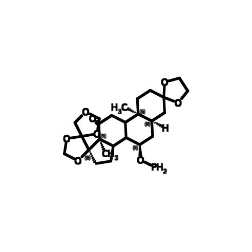 C[C@]12C(=O)CC3C(C1CC[C@@]21OCOC12COCO2)[C@H](OP)C[C@@H]1CC2(CC[C@]31C)OCCO2